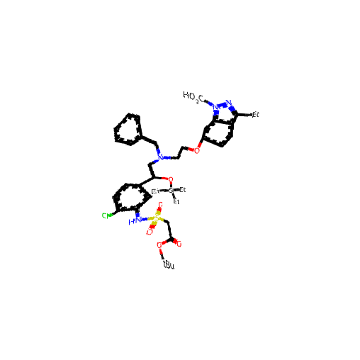 CCc1nn(C(=O)O)c2cc(OCCN(Cc3ccccc3)CC(O[Si](CC)(CC)CC)c3ccc(Cl)c(NS(=O)(=O)CC(=O)OC(C)(C)C)c3)ccc12